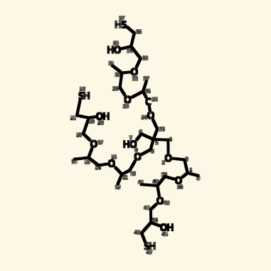 CC(COCC(CO)(COCC(C)OCC(C)OCC(O)CS)COCC(C)OCC(C)OCC(O)CS)OCC(C)OCC(O)CS